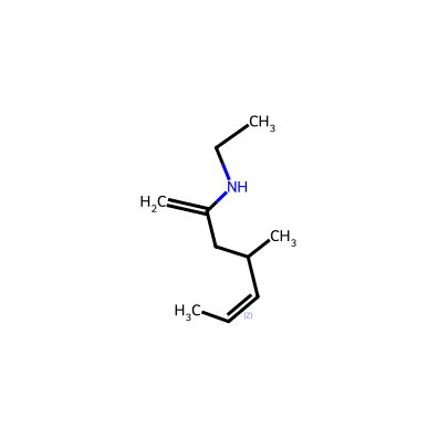 C=C(CC(C)/C=C\C)NCC